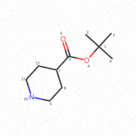 CC(C)(C)OC(=O)C1CC[N]CC1